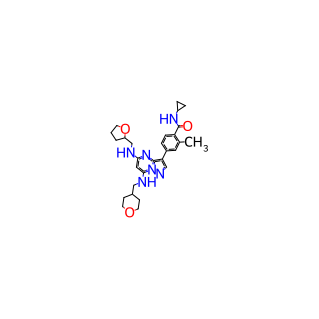 Cc1cc(-c2cnn3c(NCC4CCOCC4)cc(NCC4CCCO4)nc23)ccc1C(=O)NC1CC1